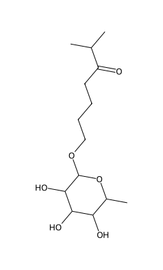 CC(C)C(=O)CCCCOC1OC(C)C(O)C(O)C1O